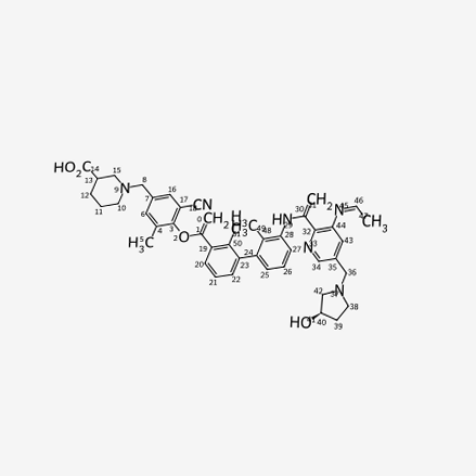 C=C(Oc1c(C)cc(CN2CCCC(C(=O)O)C2)cc1C#N)c1cccc(-c2cccc(NC(=C)c3ncc(CN4CC[C@@H](O)C4)cc3/N=C\C)c2C)c1C